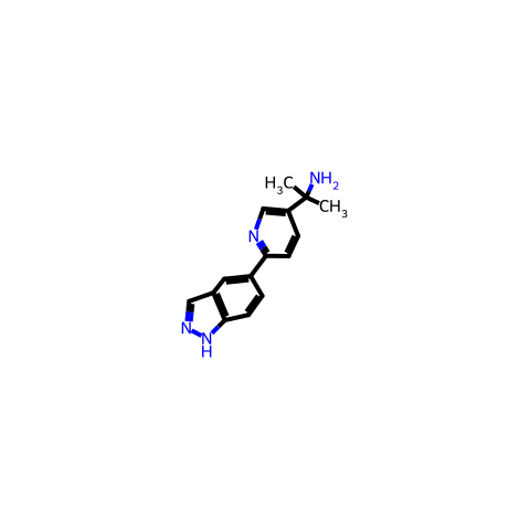 CC(C)(N)c1ccc(-c2ccc3[nH]ncc3c2)nc1